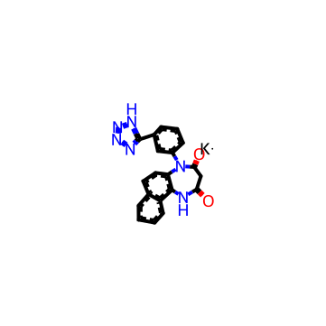 O=C1CC(=O)N(c2cccc(-c3nnn[nH]3)c2)c2ccc3ccccc3c2N1.[K]